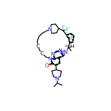 CC(C)N1CCC(c2cc3c4ncnc3n(c2=O)CCCCCCCN2CCC(CC2)C(F)(F)c2cccc(c2F)[C@H](C)N4)CC1